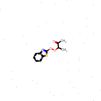 CC(=O)C(C)OOc1nc2ccccc2s1